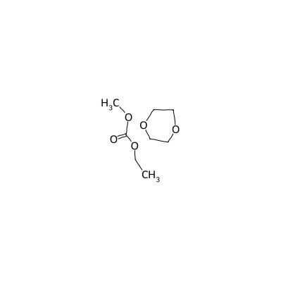 C1COCCO1.CCOC(=O)OC